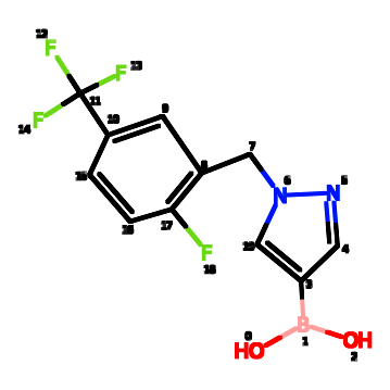 OB(O)c1cnn(Cc2cc(C(F)(F)F)ccc2F)c1